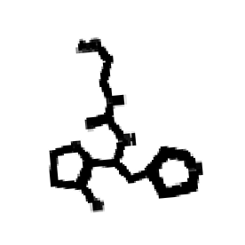 CC(=O)OCCNC(=S)NC(Cc1ccncc1)C1=C(Br)CCS1